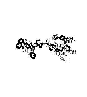 CCc1cccc2cccc(-c3ncc4c(N5CC6CCC(C5)N6)nc(OCC56CCCN5[C@H](COC(=O)N5CCN(c7cc([C@H](C(=O)N8C[C@H](O)C[C@H]8C(=O)N[C@@H](C)c8ccc(-c9scnc9C)cc8)C(C)C)on7)CC5)CC6)nc4c3F)c12